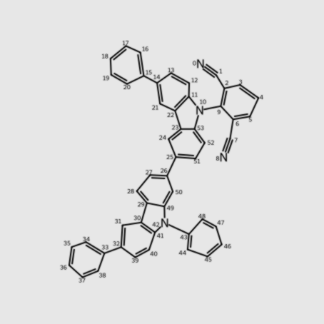 N#Cc1cccc(C#N)c1-n1c2ccc(-c3ccccc3)cc2c2cc(-c3ccc4c5cc(-c6ccccc6)ccc5n(-c5ccccc5)c4c3)ccc21